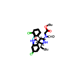 CC(C)(C)C[C@@H]1N[C@H](N(C=O)CC(=O)OC(C)(C)C)[C@H](c2cccc(Cl)c2F)[C@]12C(=O)Nc1cc(Cl)ccc12